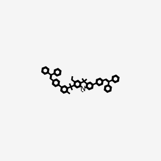 CCc1cc2c(cc1C(C)(C)c1cc(-c3ccc(C=C(c4ccccc4)c4ccccc4)cc3)ccc1C)N(C)c1ccc(-c3ccc(C=C(c4ccccc4)c4ccccc4)cc3)cc1C2(C)C